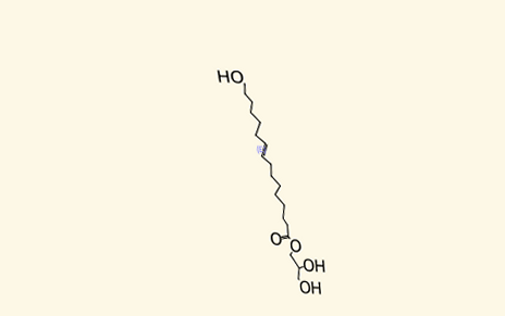 O=C(CCCCCCC/C=C/CCCCCCO)OCC(O)CO